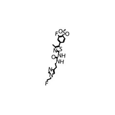 Cc1nc(NC(=O)NCCc2cn(CCF)cn2)sc1-c1ccc(S(C)(=O)=O)c(F)c1